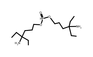 CCC(N)(CC)CCCO[PH](=O)OCCCC(N)(CC)CC